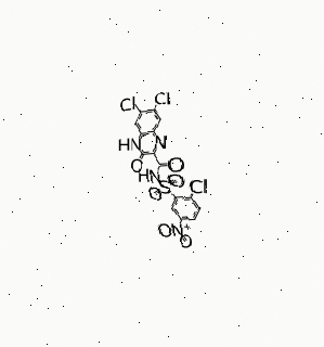 O=C(NS(=O)(=O)c1cc([N+](=O)[O-])ccc1Cl)c1nc2cc(Cl)c(Cl)cc2[nH]c1=O